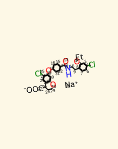 CCOc1cc(Cl)ccc1CCNC(=O)c1ccc(Oc2cc3c(cc2Cl)C(C(=O)[O-])CCO3)cc1.[Na+]